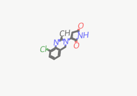 CC1=Nc2c(Cl)cccc2CN1C1CC(=O)NC1=O